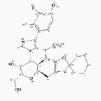 Cc1ccc(-c2cn([C@H]3[C@@H](O)[C@@H](CO)O[C@H](CC4=NOC5(CCCCC5)C4)[C@@H]3OCC(=O)O)nn2)c(F)c1F